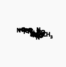 CC(=O)c1ccc2nc(CN3CCN(c4cccc(OCc5ccc(C#N)cc5F)n4)[C@@H]4C[C@@H]43)n(Cc3cncs3)c2c1